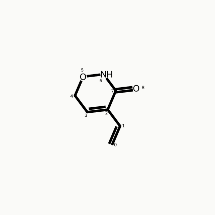 C=CC1=CCONC1=O